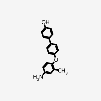 Cc1cc(N)ccc1Oc1ccc(-c2ccc(O)cc2)cc1